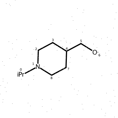 CC(C)N1CCC(C[O])CC1